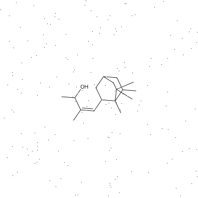 CC(=CC1CC2CC(C)C1(C)C(C)(C)C2)C(C)O